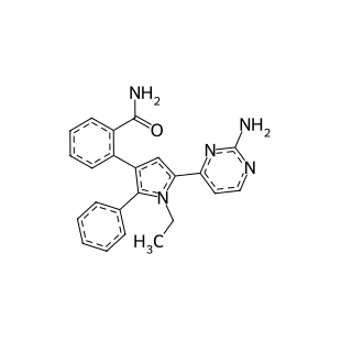 CCn1c(-c2ccnc(N)n2)cc(-c2ccccc2C(N)=O)c1-c1ccccc1